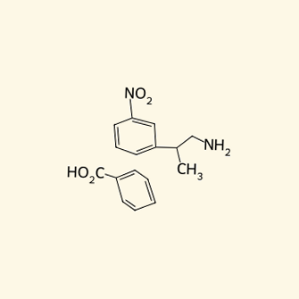 CC(CN)c1cccc([N+](=O)[O-])c1.O=C(O)c1ccccc1